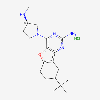 CN[C@@H]1CCN(c2nc(N)nc3c4c(oc23)CCC(C(C)(C)C)C4)C1.Cl